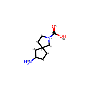 NC1CCC2(CCN(C(=O)O)C2)C1